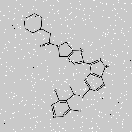 CC(Oc1ccc2[nH]nc(-c3nc4c([nH]3)CN(C(=O)CN3CCOCC3)C4)c2c1)c1c(Cl)cncc1Cl